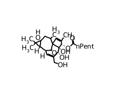 CCCCCC(=O)O[C@H]1C(C)=CC23C(=O)[C@@H](C=C(CO)[C@@H](O)[C@]12O)[C@@H]1C(C)(C)[C@]1(O)CC3C